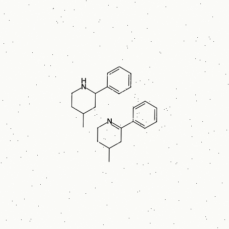 CC1CCN=C(c2ccccc2)C1.CC1CCNC(c2ccccc2)C1